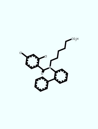 O=C(O)CCCCCN(C(=O)c1ccc(Cl)cc1Cl)c1ccccc1-c1ccccc1